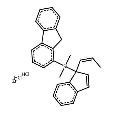 C/C=C\C1([Si](C)(C)c2cccc3c2Cc2ccccc2-3)C=Cc2ccccc21.Cl.Cl.[Zr]